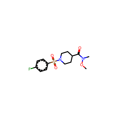 CON(C)C(=O)C1CCN(S(=O)(=O)c2ccc(F)cc2)CC1